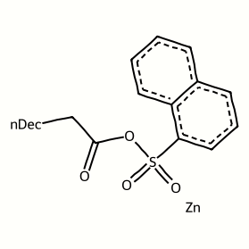 CCCCCCCCCCCC(=O)OS(=O)(=O)c1cccc2ccccc12.[Zn]